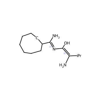 CC(C)/C(N)=C(O)/N=C(\N)C1CCCCCCC1